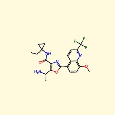 CCC1(NC(=O)c2nc(-c3ccc(OC)c4nc(C(F)(F)F)ccc34)oc2[C@H](C)N)CC1